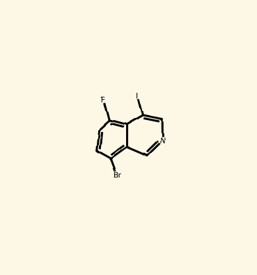 Fc1ccc(Br)c2cncc(I)c12